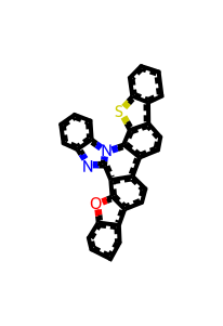 c1ccc2c(c1)nc1c3c(ccc4c5ccccc5oc43)c3ccc4c5ccccc5sc4c3n21